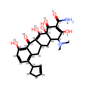 CN(C)C1C(O)=C(C(N)=O)C(=O)C2(O)C(O)=C3C(=O)c4c(O)ccc(C5C=CCC5)c4CC3CC12